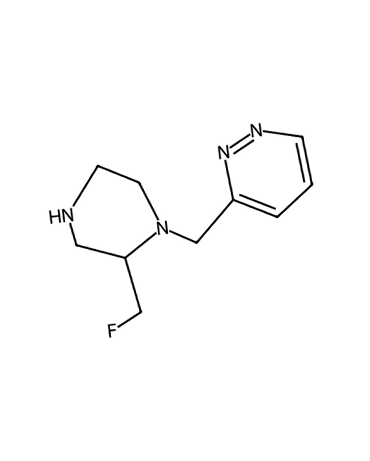 FCC1CNCCN1Cc1cccnn1